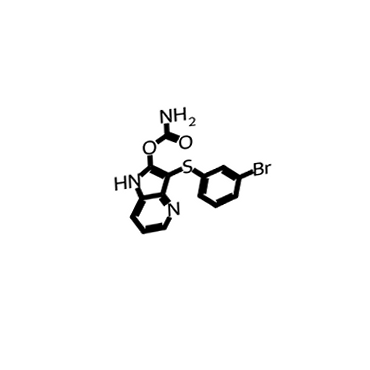 NC(=O)Oc1[nH]c2cccnc2c1Sc1cccc(Br)c1